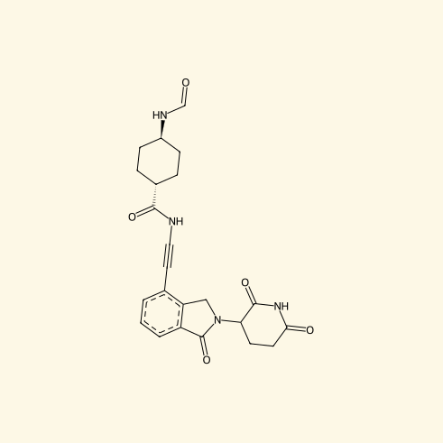 O=CN[C@H]1CC[C@H](C(=O)NC#Cc2cccc3c2CN(C2CCC(=O)NC2=O)C3=O)CC1